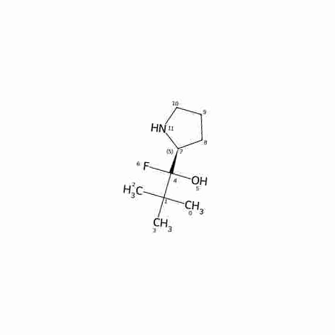 CC(C)(C)C(O)(F)[C@@H]1CCCN1